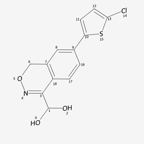 OC(O)C1=NOCc2cc(-c3ccc(Cl)s3)ccc21